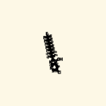 On1c(C(F)(F)C(F)(F)C(F)(F)C(F)(F)C(F)(F)C(F)(F)C(F)(F)F)nc2ncc(Cl)cc21